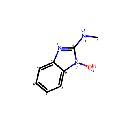 CNc1nc2ccccc2n1O